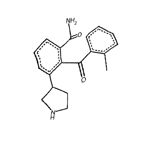 Cc1ccccc1C(=O)c1c(C(N)=O)cccc1C1CCNC1